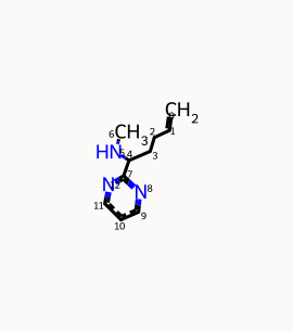 C=CCCC(NC)c1ncccn1